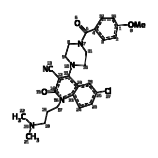 COc1ccc(C(=O)N2CCN(c3c(C#N)c(=O)n(CCCN(C)C)c4ccc(Cl)cc34)CC2)cc1